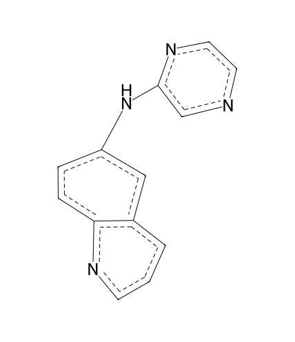 c1cnc2ccc(Nc3cnccn3)cc2c1